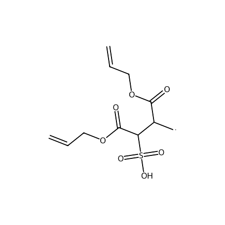 [CH2]C(C(=O)OCC=C)C(C(=O)OCC=C)S(=O)(=O)O